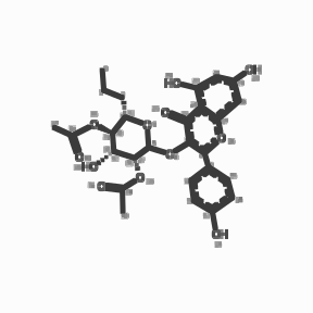 CCC[C@@H]1OC(Oc2c(-c3ccc(O)cc3)oc3cc(O)cc(O)c3c2=O)[C@H](OC(C)=O)[C@H](O)[C@H]1OC(C)=O